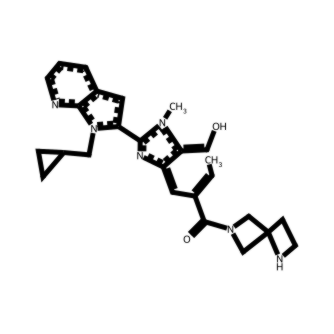 C\C=C(/C=c1/nc(-c2cc3cccnc3n2CC2CC2)n(C)/c1=C\O)C(=O)N1CC2(CCN2)C1